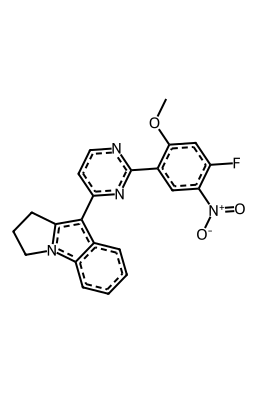 COc1cc(F)c([N+](=O)[O-])cc1-c1nccc(-c2c3n(c4ccccc24)CCC3)n1